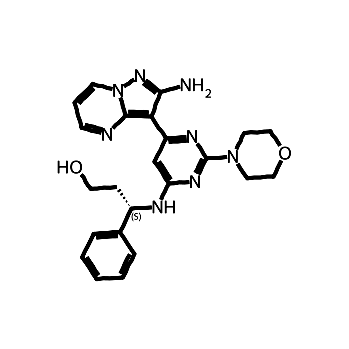 Nc1nn2cccnc2c1-c1cc(N[C@@H](CCO)c2ccccc2)nc(N2CCOCC2)n1